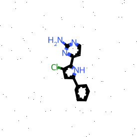 Nc1nccc(-c2[nH]c(-c3ccccc3)cc2Cl)n1